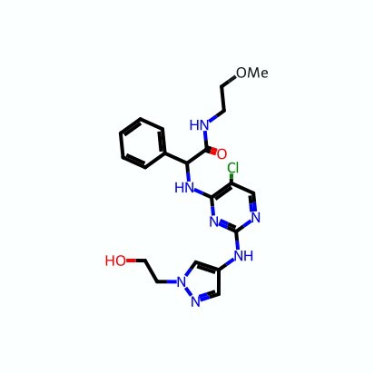 COCCNC(=O)C(Nc1nc(Nc2cnn(CCO)c2)ncc1Cl)c1ccccc1